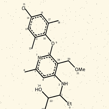 CCC(Nc1cc(C)nc(Oc2c(C)cc(Cl)cc2C)c1COC)C(C)O